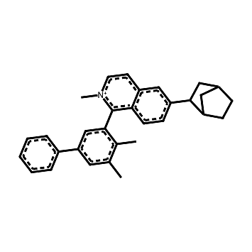 Cc1cc(-c2ccccc2)cc(-c2c3ccc(C4CC5CCC4C5)cc3cc[n+]2C)c1C